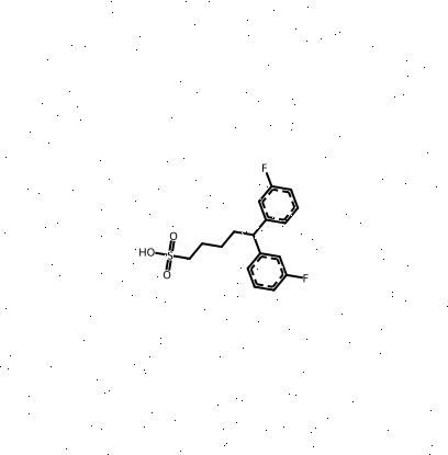 O=S(=O)(O)CCCCC(c1cccc(F)c1)c1cccc(F)c1